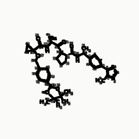 Cc1ncsc1-c1ccc(C(C)NC(=O)[C@@H]2CCCN2C(=O)C(NC(=O)C2(OCc3ccc(B4OC(C)(C)C(C)(C)O4)cc3)CC2)C(C)(C)C)cc1